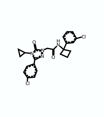 O=C(Cn1nc(-c2ccc(Cl)cc2)n(C2CC2)c1=O)NC1(c2cccc(Cl)c2)CCC1